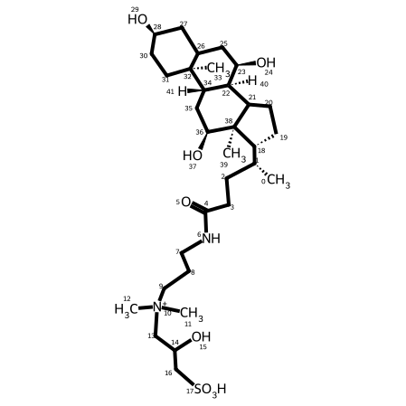 C[C@H](CCC(=O)NCCC[N+](C)(C)CC(O)CS(=O)(=O)O)[C@H]1CCC2[C@@H]3[C@H](O)CC4C[C@H](O)CC[C@]4(C)[C@H]3C[C@H](O)[C@@]21C